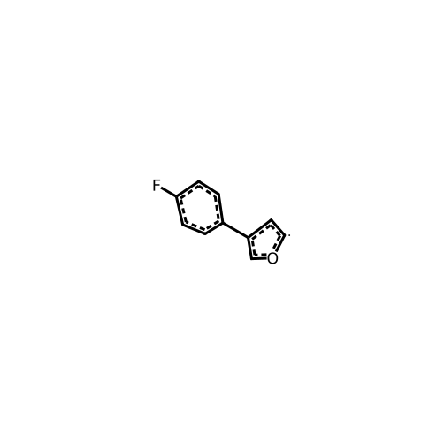 Fc1ccc(-c2c[c]oc2)cc1